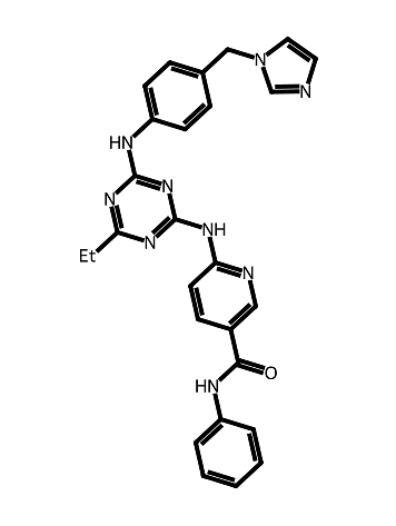 CCc1nc(Nc2ccc(Cn3ccnc3)cc2)nc(Nc2ccc(C(=O)Nc3ccccc3)cn2)n1